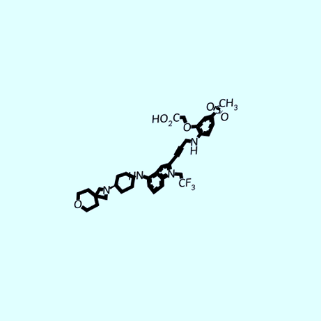 CS(=O)(=O)c1ccc(NCC#Cc2cc3c(N[C@H]4CC[C@H](N5CC6(CCOCC6)C5)CC4)cccc3n2CC(F)(F)F)c(OCC(=O)O)c1